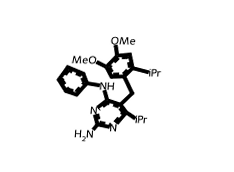 COc1cc(Cc2c(Nc3ccccc3)nc(N)nc2C(C)C)c(C(C)C)cc1OC